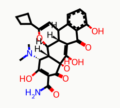 CN(C)[C@H]1C(O)=C(C(N)=O)C(=O)[C@@]2(O)C(O)=C3C(=O)c4c(O)cccc4[C@@H]4C=C(C5CCC5)O[C@@H]([C@@H]34)[C@@H]12